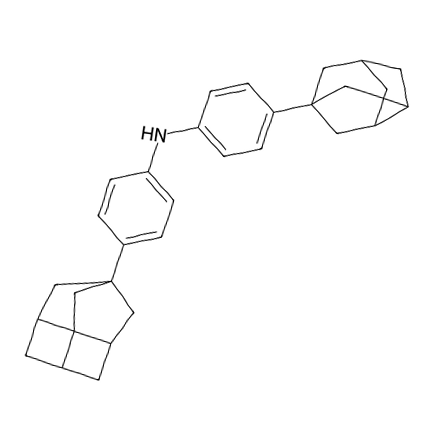 c1cc(C23CC4CC(C2)C(C4)C3)ccc1Nc1ccc(C23CC4CC5CC(C2)C54C3)cc1